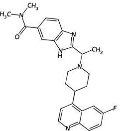 CC(c1nc2ccc(C(=O)N(C)C)cc2[nH]1)N1CCC(c2ccnc3ccc(F)cc23)CC1